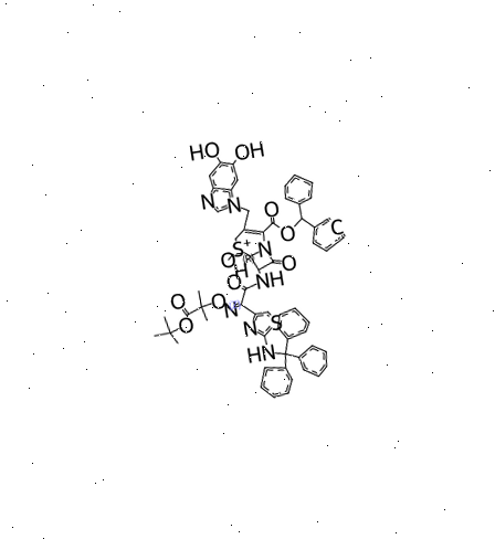 CC(C)(C)OC(=O)C(C)(C)O/N=C(\C(=O)NC1C(=O)N2C(C(=O)OC(c3ccccc3)c3ccccc3)=C(Cn3cnc4cc(O)c(O)cc43)C[S+]([O-])[C@H]12)c1csc(NC(c2ccccc2)(c2ccccc2)c2ccccc2)n1